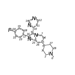 CN1CCC(c2ccn3c(-c4ccncn4)c(-c4ccc(F)cc4)nc3c2)CC1